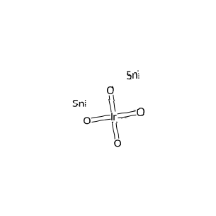 [O]=[Ir](=[O])(=[O])=[O].[Sn].[Sn]